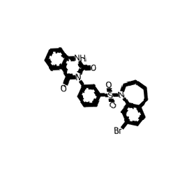 O=c1[nH]c2ccccc2c(=O)n1-c1cccc(S(=O)(=O)N2CCCCc3ccc(Br)cc32)c1